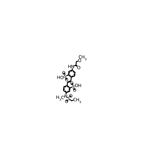 CCS(=O)(=O)N(C)c1ccc(C=Cc2ccc(NC(=O)COC)cc2S(=O)(=O)O)c(S(=O)(=O)O)c1